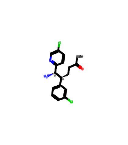 COC(=O)CC[C@H](c1cccc(Cl)c1)[C@H](N)c1ccc(Cl)cn1